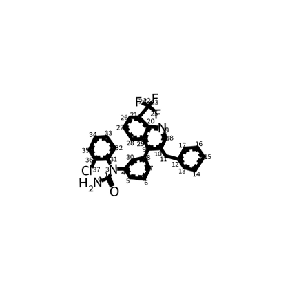 NC(=O)N(c1cccc(-c2c(Cc3ccccc3)cnc3c(C(F)(F)F)cccc23)c1)c1ccccc1Cl